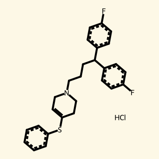 Cl.Fc1ccc(C(CCCN2CC=C(Sc3ccccc3)CC2)c2ccc(F)cc2)cc1